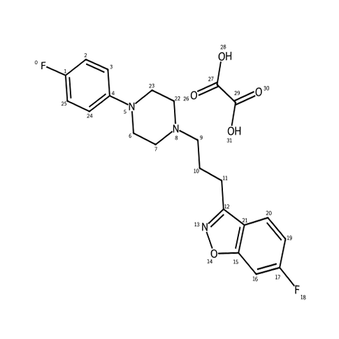 Fc1ccc(N2CCN(CCCc3noc4cc(F)ccc34)CC2)cc1.O=C(O)C(=O)O